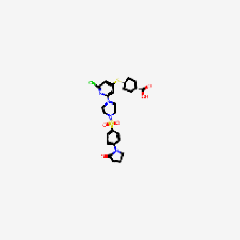 O=C1CCCN1c1ccc(S(=O)(=O)N2CCN(c3cc(S[C@H]4CC[C@H](C(=O)O)CC4)cc(Cl)n3)CC2)cc1